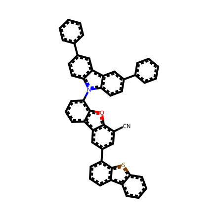 N#Cc1cc(-c2cccc3c2sc2ccccc23)cc2c1oc1c(-n3c4ccc(-c5ccccc5)cc4c4cc(-c5ccccc5)ccc43)cccc12